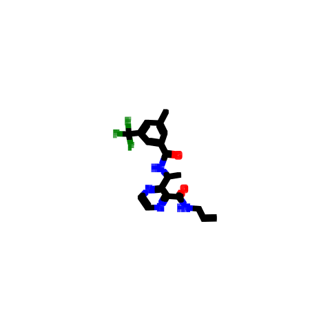 C=CCNC(=O)c1nccnc1C(C)NC(=O)c1cc(C)cc(C(F)(F)F)c1